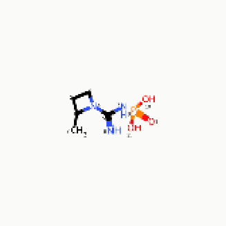 CC1CCN1C(=N)NP(=O)(O)O